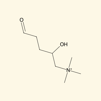 C[N+](C)(C)CC(O)CCC=O